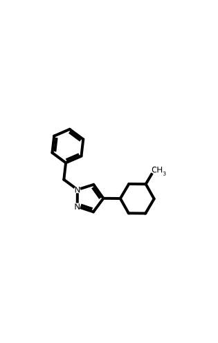 CC1CCCC(c2cnn(Cc3ccccc3)c2)C1